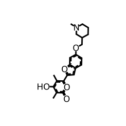 Cc1c(-c2cc3ccc(OCC4CCCN(C)C4)cc3o2)oc(=O)c(C)c1O